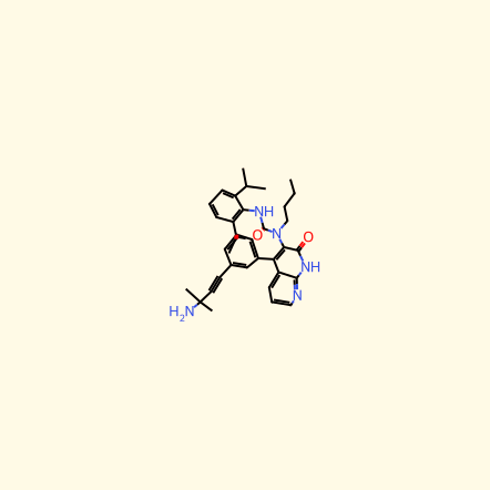 CCCCN(C(=O)Nc1c(C(C)C)cccc1C(C)C)c1c(-c2cccc(C#CC(C)(C)N)c2)c2cccnc2[nH]c1=O